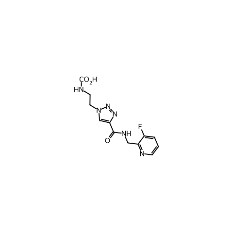 O=C(O)NCCn1cc(C(=O)NCc2ncccc2F)nn1